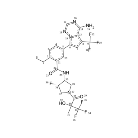 CCc1ccc(-c2cc(C(F)(F)F)c3c(N)ncnn23)cc1C(=O)N[C@@H]1CN(C(=O)C(C)(O)C(F)(F)F)C[C@@H]1F